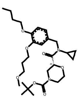 CCCCOc1ccc(CN(C(=O)[C@H]2CN(C(=O)OC(C)(C)C)CCO2)C2CC2)cc1OCCCOC